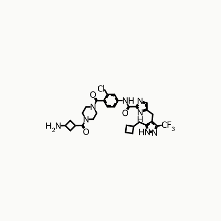 NC1CC(C(=O)N2CCN(C(=O)c3ccc(NC(=O)c4ncc(Cc5c(C(F)(F)F)n[nH]c5CC5CCC5)[nH]4)cc3Cl)CC2)C1